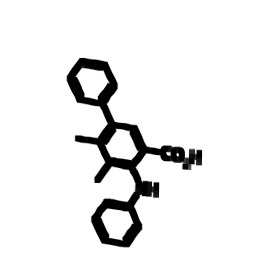 Cc1c(-c2ccccc2)cc(C(=O)O)c(Nc2ccccc2)c1C